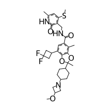 COC1CN(C2CCC(C3(C)Oc4c(C5CC(F)(F)C5)cc(C(=O)NCc5c(SC)cc(C)[nH]c5=O)c(C)c4O3)CC2)C1